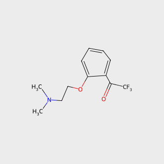 CN(C)CCOc1ccccc1C(=O)C(F)(F)F